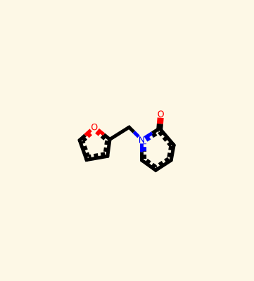 O=c1ccccn1Cc1ccco1